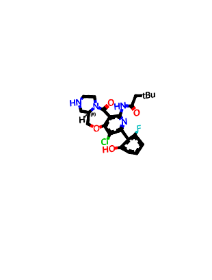 CC(C)(C)CC(=O)Nc1nc(-c2c(O)cccc2F)c(Cl)c2c1C(=O)N1CCNC[C@@H]1CO2